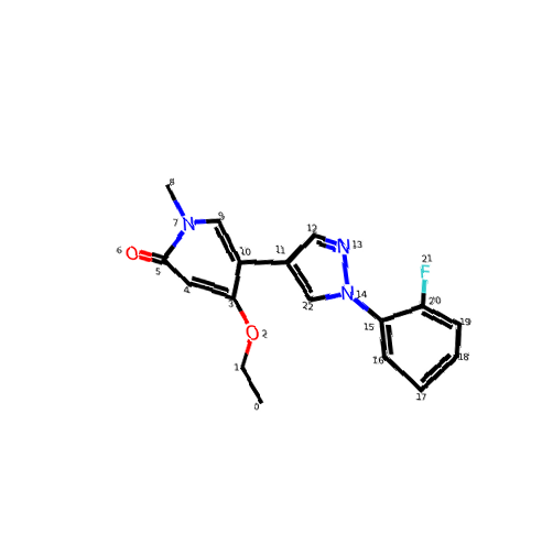 CCOc1cc(=O)n(C)cc1-c1cnn(-c2ccccc2F)c1